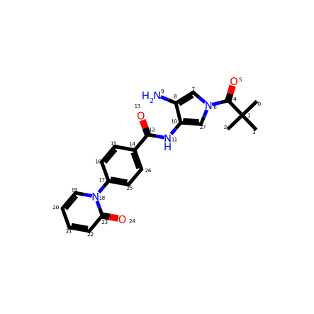 CC(C)(C)C(=O)n1cc(N)c(NC(=O)c2ccc(-n3ccccc3=O)cc2)c1